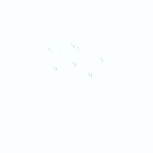 CN=P1(N=P(N(C)C)(N(C)C)N(C)C)N(C)CCCN1Cc1ccc(C)cc1